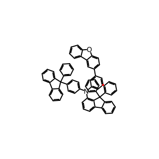 c1ccc(C2(c3ccc(N(c4cccc(-c5ccc6oc7ccccc7c6c5)c4)c4cccc5c4C(c4ccccc4)(c4ccccc4)c4ccccc4-5)cc3)c3ccccc3-c3ccccc32)cc1